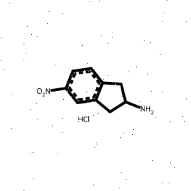 Cl.NC1Cc2ccc([N+](=O)[O-])cc2C1